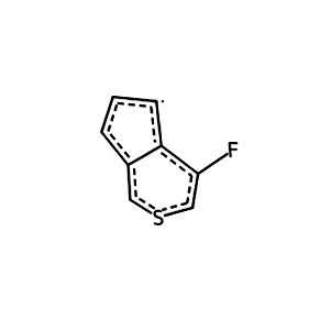 Fc1cscc2cc[c]c1-2